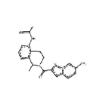 Bc1ccc2cc(C(=O)N3CCc4c(NC(C)=O)cccc4C3C)nn2c1